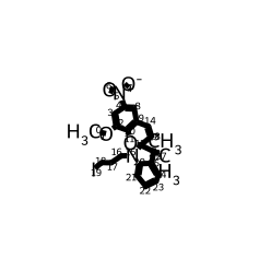 COc1cc([N+](=O)[O-])cc2c1OC1(C=C2)N(CCCI)c2ccccc2C1(C)C